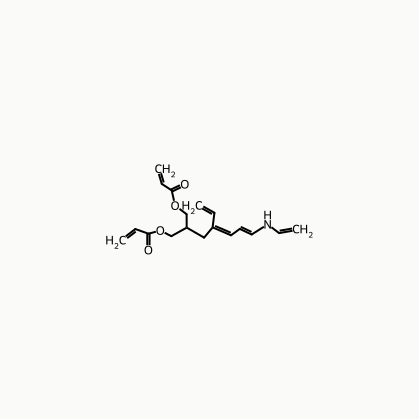 C=CN/C=C/C=C(\C=C)CC(COC(=O)C=C)COC(=O)C=C